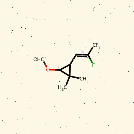 CC1(C)C(/C=C(\F)C(F)(F)F)C1OC=O